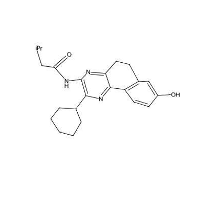 CC(C)CC(=O)Nc1nc2c(nc1C1CCCCC1)-c1ccc(O)cc1CC2